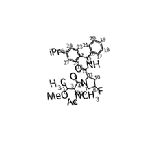 COC(C)C(C(=O)N1CC(F)CC1C(=O)NC(c1ccccc1)c1ccc(C(C)C)cc1)N(C)C(C)=O